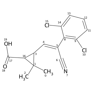 CC1(C)C(/C=C(\C#N)c2c(Cl)cccc2Cl)C1C(=O)O